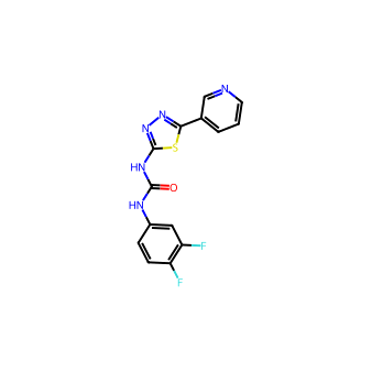 O=C(Nc1ccc(F)c(F)c1)Nc1nnc(-c2cccnc2)s1